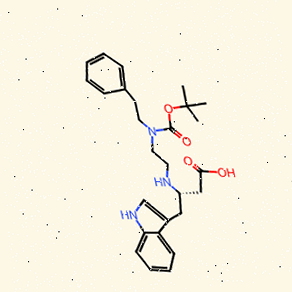 CC(C)(C)OC(=O)N(CCN[C@H](CC(=O)O)Cc1c[nH]c2ccccc12)CCc1ccccc1